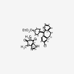 CCOC(=O)N1CCC(=C2c3ccc(Cl)cc3CCc3cccnc32)CC1.Cn1c(=O)c2[nH]cnc2n(C)c1=O